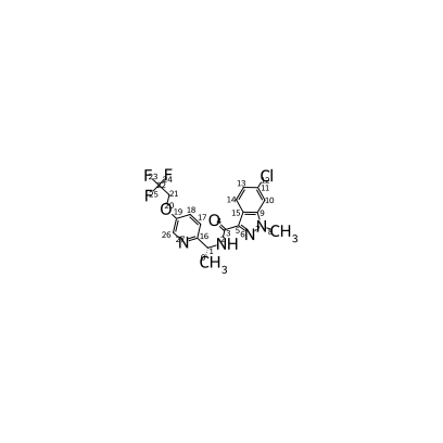 C[C@@H](NC(=O)c1nn(C)c2cc(Cl)ccc12)c1ccc(OCC(F)(F)F)cn1